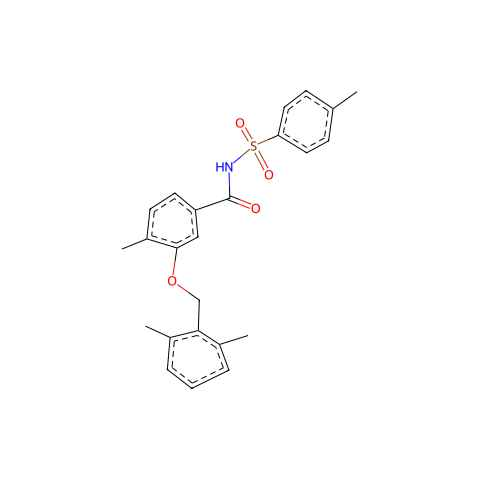 Cc1ccc(S(=O)(=O)NC(=O)c2ccc(C)c(OCc3c(C)cccc3C)c2)cc1